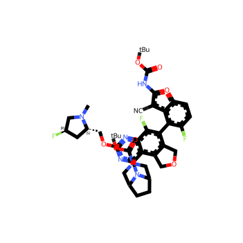 CN1C[C@H](F)C[C@H]1COc1nc(N2C3CCC2CN(C(=O)OC(C)(C)C)C3)c2c3c(c(-c4c(F)ccc5oc(NC(=O)OC(C)(C)C)c(C#N)c45)c(F)c2n1)COC3